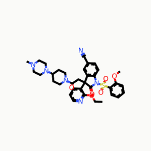 CCOc1ncccc1C1(CC(=O)N2CCC(N3CCN(C)CC3)CC2)C(=O)N(S(=O)(=O)c2ccccc2OC)c2ccc(C#N)cc21